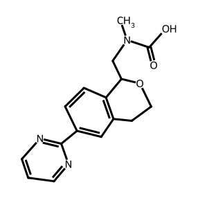 CN(CC1OCCc2cc(-c3ncccn3)ccc21)C(=O)O